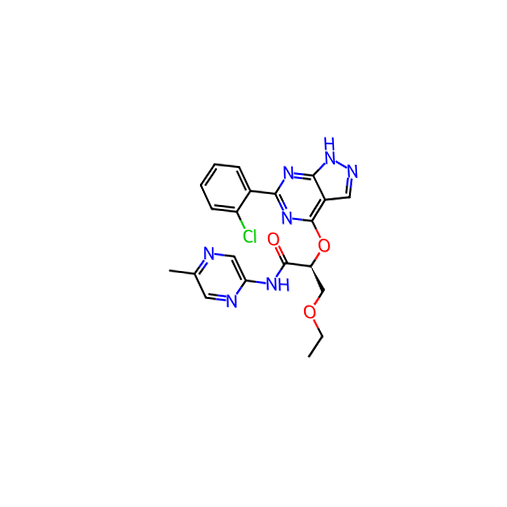 CCOC[C@H](Oc1nc(-c2ccccc2Cl)nc2[nH]ncc12)C(=O)Nc1cnc(C)cn1